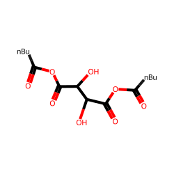 CCCCC(=O)OC(=O)C(O)C(O)C(=O)OC(=O)CCCC